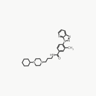 Cc1cc(C(=O)NCCCN2CCN(C3CCCCC3)CC2)ccc1-n1nnc2cccnc21